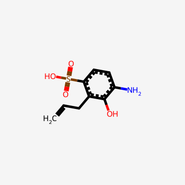 C=CCc1c(S(=O)(=O)O)ccc(N)c1O